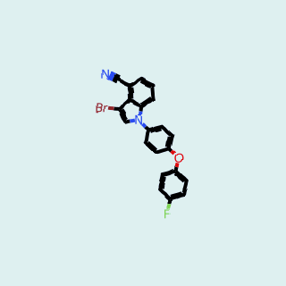 N#Cc1cccc2c1c(Br)cn2-c1ccc(Oc2ccc(F)cc2)cc1